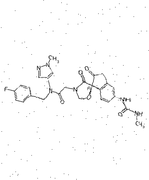 CNC(=O)Nc1ccc2c(c1)CC(=O)[C@]21OCN(CC(=O)N(Cc2ccc(F)cc2)c2cnn(C)c2)C1=O